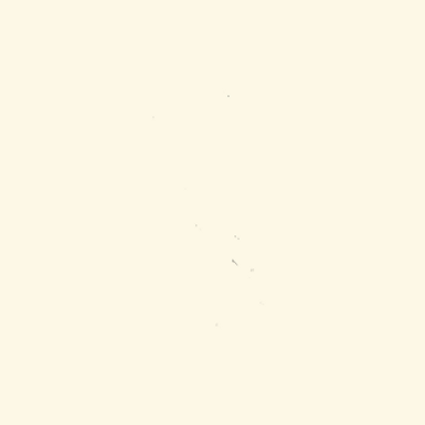 CC(=O)OC[C@H]1C[C@@H]1C(=O)Nc1cc2cc(-c3cnccc3C)cc(Cl)c2cn1